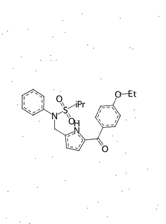 CCOc1ccc(C(=O)c2ccc(CN(c3ccccc3)S(=O)(=O)C(C)C)[nH]2)cc1